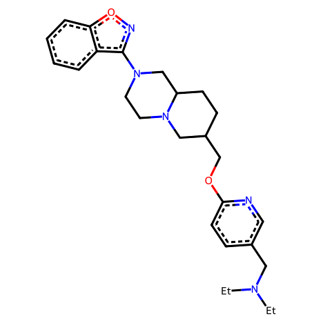 CCN(CC)Cc1ccc(OCC2CCC3CN(c4noc5ccccc45)CCN3C2)nc1